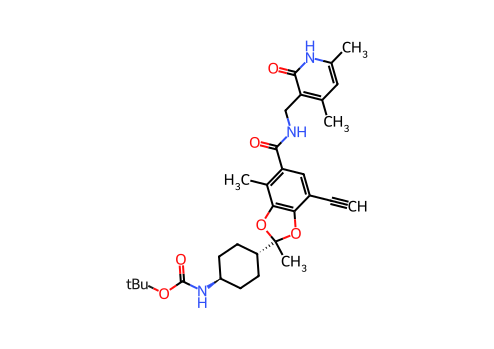 C#Cc1cc(C(=O)NCc2c(C)cc(C)[nH]c2=O)c(C)c2c1OC(C)([C@H]1CC[C@H](NC(=O)OC(C)(C)C)CC1)O2